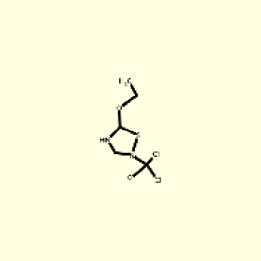 CCOC1NCN(C(Cl)(Cl)Cl)S1